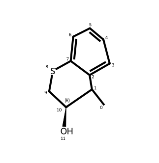 CC1c2ccccc2SC[C@@H]1O